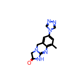 Cc1cc(-n2cnnc2)cc2c1N=C1NC(=O)CN1C2